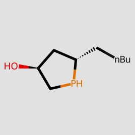 CCCCC[C@H]1C[C@H](O)CP1